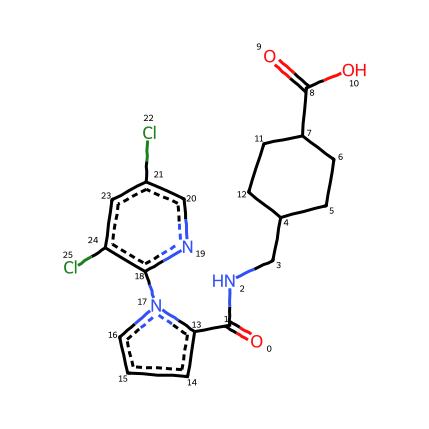 O=C(NCC1CCC(C(=O)O)CC1)c1cccn1-c1ncc(Cl)cc1Cl